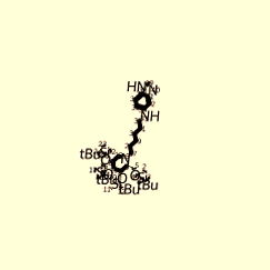 CC(C)(C)[Si](C)(C)OC[C@@H]1C(O[Si](C)(C)C(C)(C)C)C(O[Si](C)(C)C(C)(C)C)C(O[Si](C)(C)C(C)(C)C)CN1CCCCCCNc1ccc2[nH]cnc2c1